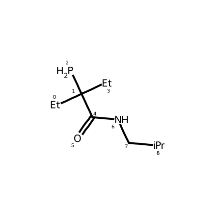 CCC(P)(CC)C(=O)NCC(C)C